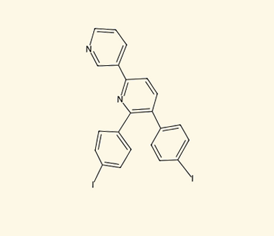 Ic1ccc(-c2ccc(-c3cccnc3)nc2-c2ccc(I)cc2)cc1